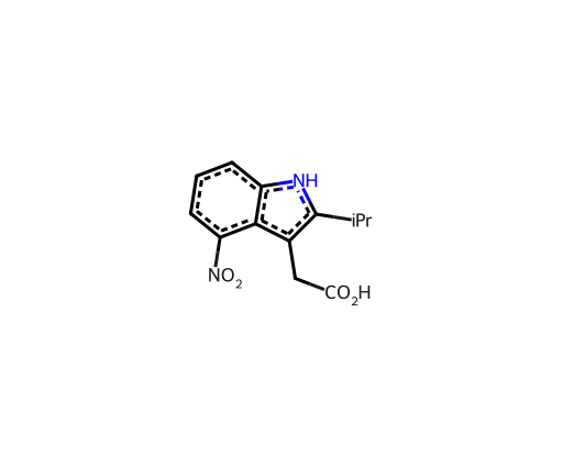 CC(C)c1[nH]c2cccc([N+](=O)[O-])c2c1CC(=O)O